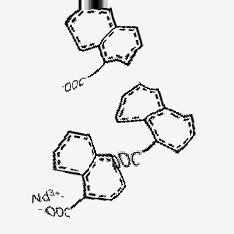 O=C([O-])c1cccc2ccccc12.O=C([O-])c1cccc2ccccc12.O=C([O-])c1cccc2ccccc12.[Nd+3]